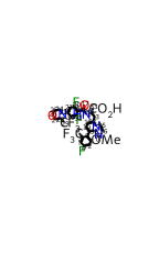 COc1cc(F)cc(C(F)(F)F)c1-c1ccc(CC(NC(=O)c2c(F)cc(N3CCOCC3C(F)(F)F)cc2F)C(=O)O)n2ccnc12